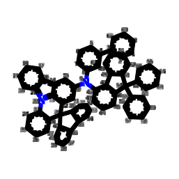 c1ccc(-c2cccc(N(c3cc4c5c(c3)c3ccccc3n5-c3ccccc3C43c4ccccc4-c4ccccc43)c3cccc4c3-c3ccccc3C4(c3ccccc3)c3ccccc3)c2)cc1